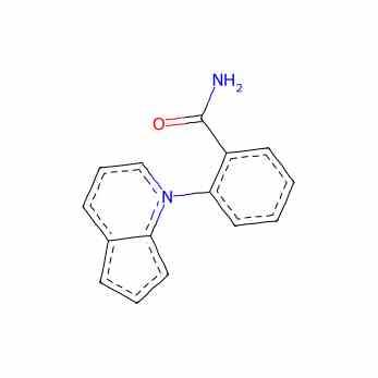 NC(=O)c1ccccc1-n1cccc2cccc1-2